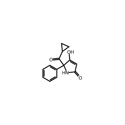 O=C1C=C(O)C(C(=O)C2CC2)(c2ccccc2)N1